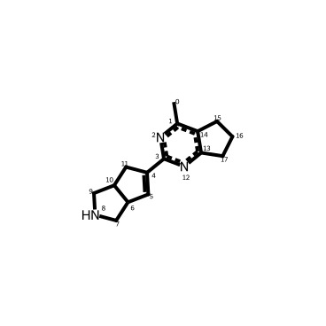 Cc1nc(C2=CC3CNCC3C2)nc2c1CCC2